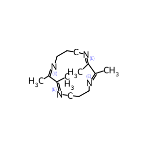 CC1=N\CCC/N=C(C)/C(C)=N/CCC\N=C\1C